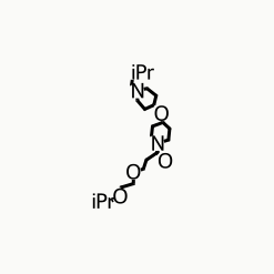 CC(C)CN1CCC(OC2CCN(C(=O)CCOCCOC(C)C)CC2)CC1